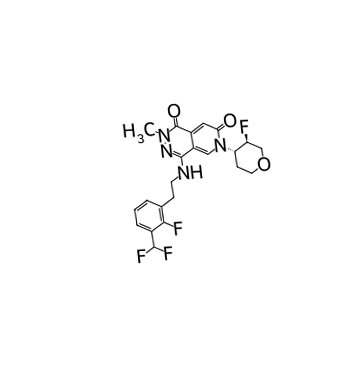 Cn1nc(NCCc2cccc(C(F)F)c2F)c2cn([C@H]3CCOC[C@@H]3F)c(=O)cc2c1=O